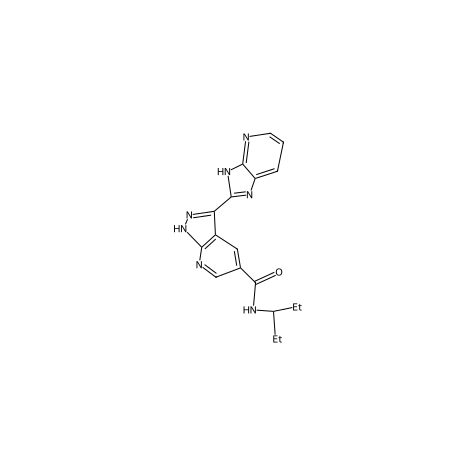 CCC(CC)NC(=O)c1cnc2[nH]nc(-c3nc4cccnc4[nH]3)c2c1